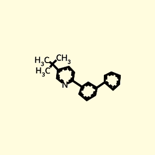 CC(C)(C)c1ccc(-c2cccc(-c3ccccc3)c2)nc1